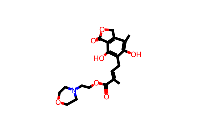 C/C(=C\Cc1c(O)c(C)c2c(c1O)C(=O)OC2)C(=O)OCCN1CCOCC1